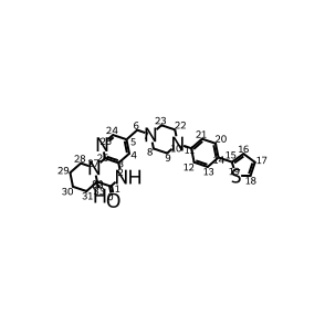 O=C1Nc2cc(CN3CCN(c4ccc(-c5cccs5)cc4)CC3)cnc2N2CCCC[C@@H]12